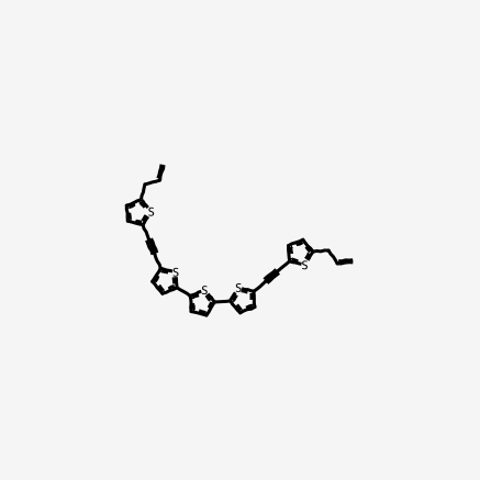 C=CCc1ccc(C#Cc2ccc(-c3ccc(-c4ccc(C#Cc5ccc(CC=C)s5)s4)s3)s2)s1